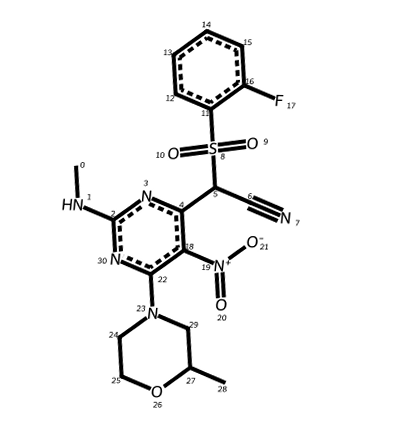 CNc1nc(C(C#N)S(=O)(=O)c2ccccc2F)c([N+](=O)[O-])c(N2CCOC(C)C2)n1